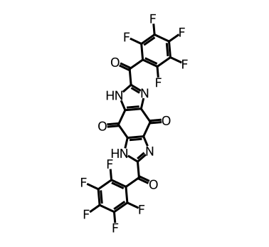 O=C1c2nc(C(=O)c3c(F)c(F)c(F)c(F)c3F)[nH]c2C(=O)c2[nH]c(C(=O)c3c(F)c(F)c(F)c(F)c3F)nc21